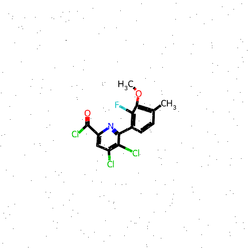 COc1c(C)ccc(-c2nc(C(=O)Cl)cc(Cl)c2Cl)c1F